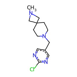 CN1CC2(CCN(Cc3cnc(Cl)nc3)CC2)C1